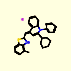 Cc1cccc2c1NC(C=C1C=C(C3CCCCC3)N(c3ccccc3)c3ccccc31)S2.I